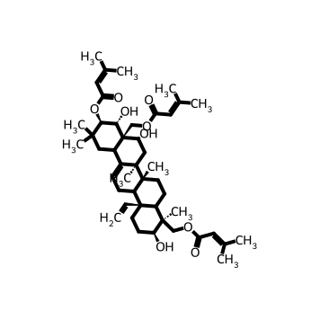 C=C[C@]12CC[C@H](O)[C@](C)(COC(=O)C=C(C)C)C1CC[C@]1(C)C2CC=C2C3CC(C)(C)[C@@H](OC(=O)C=C(C)C)[C@H](O)[C@]3(COC(=O)C=C(C)C)[C@H](O)C[C@]21C